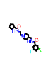 O=C(NCC1CCN(CCNC(=O)C2CCCC2)CC1)c1cc(F)cc(Cl)c1